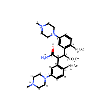 CCOC(=O)C(c1cc(N2CCN(C)CC2)ccc1NC(C)=O)C(C(N)=O)c1cc(N2CCN(C)CC2)ccc1NC(C)=O